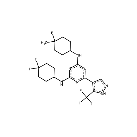 CC1(F)CCC(Nc2nc(NC3CCC(F)(F)CC3)nc(-c3cn[nH]c3C(F)(F)F)n2)CC1